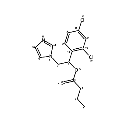 CCCC(=S)OC(Cn1ccnc1)c1ccc(Cl)cc1Cl